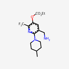 CCOC(=O)Oc1cc(CN)c(N2CCC(C)CC2)nc1C(F)(F)F